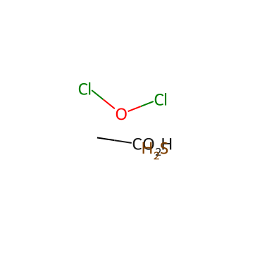 CC(=O)O.ClOCl.S